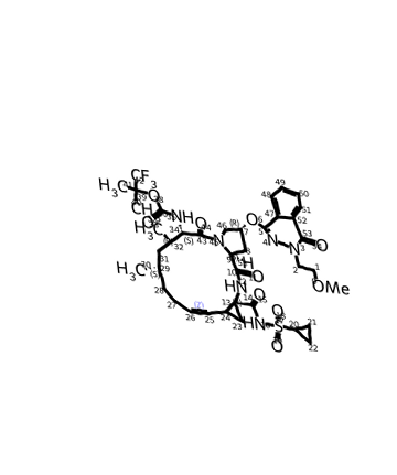 COCCn1nc(O[C@@H]2C[C@H]3C(=O)N[C@]4(C(=O)NS(=O)(=O)C5CC5)CC4/C=C\CC[C@H](C)C[C@@H](C)[C@H](NC(=O)OC(C)(C)C(F)(F)F)C(=O)N3C2)c2ccccc2c1=O